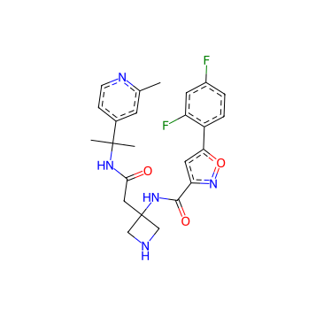 Cc1cc(C(C)(C)NC(=O)CC2(NC(=O)c3cc(-c4ccc(F)cc4F)on3)CNC2)ccn1